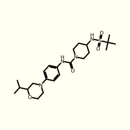 CC(C)C1CN(c2ccc(NC(=O)N3CCC(NS(=O)(=O)C(C)(C)C)CC3)cc2)CCO1